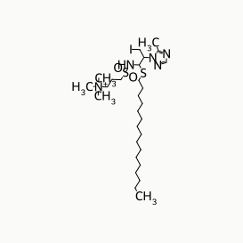 CCCCCCCCCCCCCCCCSC(NS(=O)(=O)CCC[N+](C)(C)C)C(CI)n1ncnc1C